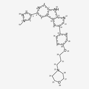 Cn1cc(-c2cc3c(cn2)[nH]c2ncc(-c4ccc(OCCCN5CCOCC5)cc4)cc23)cn1